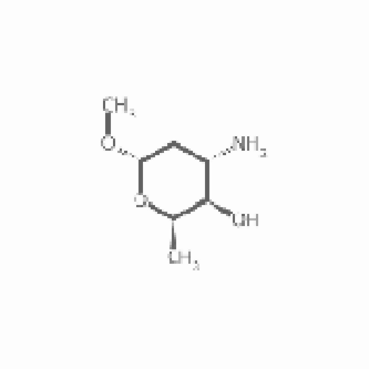 CO[C@@H]1C[C@H](N)[C@@H](O)[C@@H](C)O1